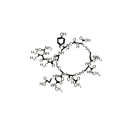 CNC(=O)[C@H](CCC(=O)O)NC(=O)[C@H]1CCSC[C@@H](NC(=O)[C@@H](C)NC(=O)[C@H](NC(N)O)C(C)C)C(=O)N[C@H](Cc2ccc(O)cc2)C(=O)NCC(=O)N[C@H](C(=O)O)CSSC[C@H](NC)C(=O)N[C@@H](C(=O)NC)CSSC[C@@H](NC(C)=O)C(=O)N1